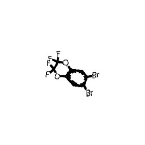 FC1(F)Oc2cc(Br)c(Br)cc2OC1(F)F